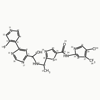 CC(NC(O)c1cc(-c2ccncc2F)ncn1)c1ncc(C(=O)Nc2cc(C(F)(F)F)c(Cl)cn2)s1